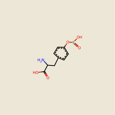 NC(Cc1ccc(OS(=O)O)cc1)C(=O)O